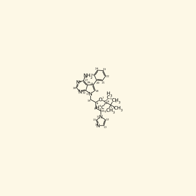 CC(C)(C)[Si](C)(C)OC(CCn1ccnc1)Cn1cc(-c2ccccc2)c2c(N)ncnc21